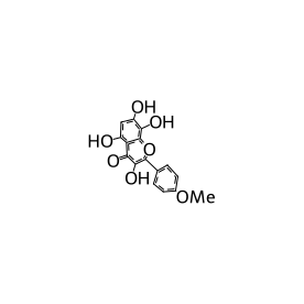 COc1ccc(-c2oc3c(O)c(O)cc(O)c3c(=O)c2O)cc1